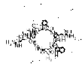 CC(=O)N[C@@H](CCCNC(=N)N)C(=O)N[C@H]1CCCCNC(=O)C[C@@H](C(N)=O)NC(=O)[C@H](Cc2c[nH]c3ccccc23)NC(=O)[C@H](CCCNC(=N)N)NC(=O)[C@@H](Cc2ccccc2)NC(=O)[C@H](CC(N)=O)NC1=O